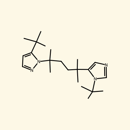 CC(C)(C)c1ccnn1C(C)(C)CCC(C)(C)c1cncn1C(C)(C)C